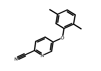 Cc1ccc(C)c(Oc2ccc(C#N)nc2)c1